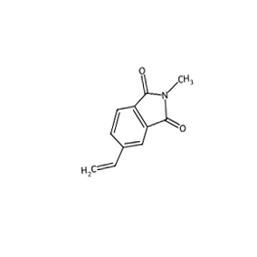 C=Cc1ccc2c(c1)C(=O)N(C)C2=O